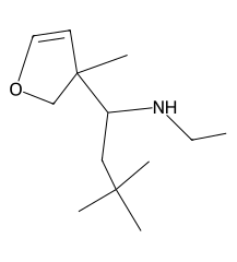 CCNC(CC(C)(C)C)C1(C)C=COC1